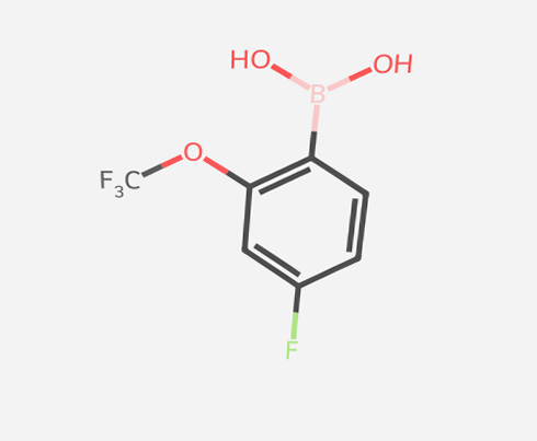 OB(O)c1ccc(F)cc1OC(F)(F)F